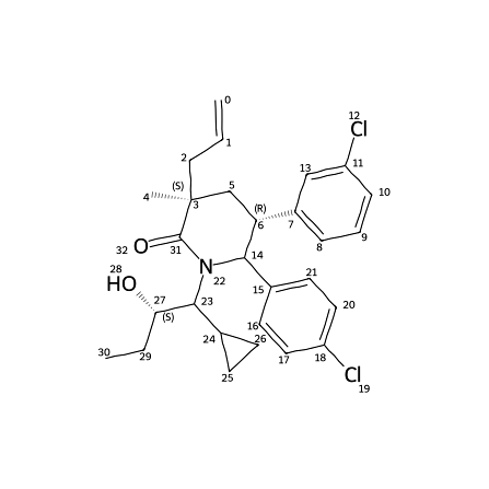 C=CC[C@@]1(C)C[C@H](c2cccc(Cl)c2)C(c2ccc(Cl)cc2)N(C(C2CC2)[C@@H](O)CC)C1=O